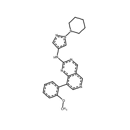 COc1ccccc1-c1cncc2cnc(Nc3cnn(N4CCCCC4)c3)nc12